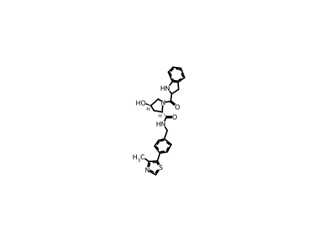 Cc1ncsc1-c1ccc(CNC(=O)[C@@H]2C[C@@H](O)CN2C(=O)C2Cc3ccccc3N2)cc1